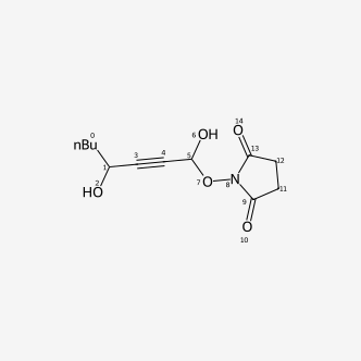 CCCCC(O)C#CC(O)ON1C(=O)CCC1=O